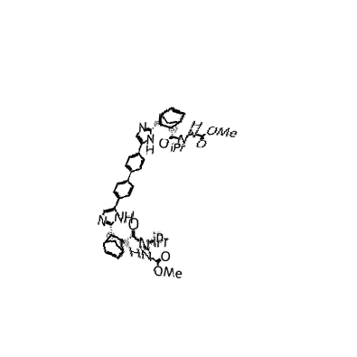 COC(=O)NN(C(=O)[C@@H]1C2C=CC(C2)[C@@H]1c1ncc(-c2ccc(-c3ccc(-c4cnc([C@@H]5C6C=CC(C6)[C@@H]5C(=O)N(NC(=O)OC)C(C)C)[nH]4)cc3)cc2)[nH]1)C(C)C